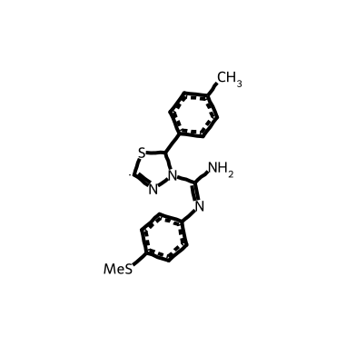 CSc1ccc(N=C(N)N2N=[C]SC2c2ccc(C)cc2)cc1